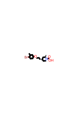 Cc1cc(OCCC[C@H]2CCN(C(=O)O)[C@H](C)C2)ccc1Br